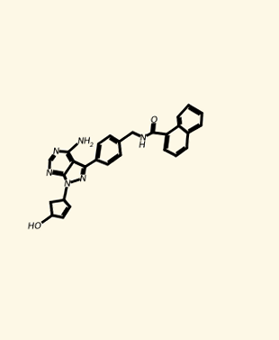 Nc1ncnc2c1c(-c1ccc(CNC(=O)c3cccc4ccccc34)cc1)nn2C1C=CC(O)C1